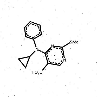 CSc1ncc(C(=O)O)c(N(c2ccccc2)C2CC2)n1